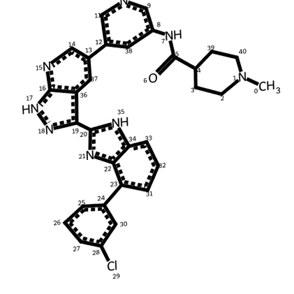 CN1CCC(C(=O)Nc2cncc(-c3cnc4[nH]nc(-c5nc6c(-c7cccc(Cl)c7)cccc6[nH]5)c4c3)c2)CC1